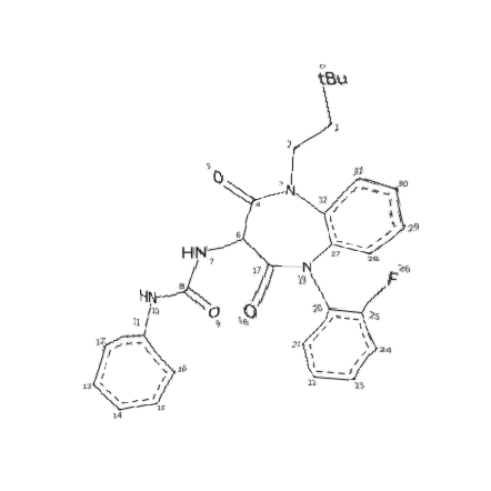 CC(C)(C)CCN1C(=O)C(NC(=O)Nc2ccccc2)C(=O)N(c2ccccc2F)c2ccccc21